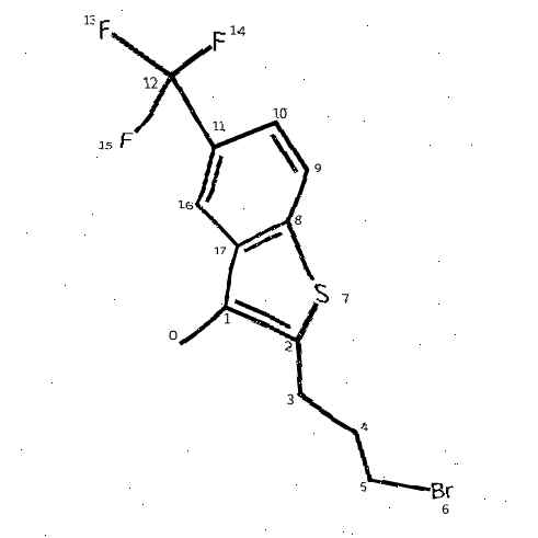 Cc1c(CCCBr)sc2ccc(C(F)(F)F)cc12